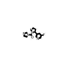 O=C(N1N=CCC1c1cncc(F)c1)n1ccnc1